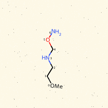 COCCNCON